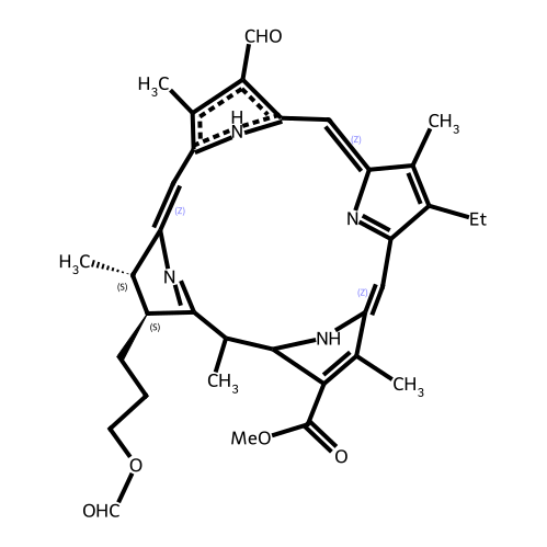 CCC1=C(C)/C2=C/c3[nH]c(c(C)c3C=O)/C=C3\N=C(C(C)C4N/C(=C\C1=N2)C(C)=C4C(=O)OC)[C@@H](CCCOC=O)[C@@H]3C